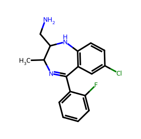 CC1N=C(c2ccccc2F)c2cc(Cl)ccc2NC1CN